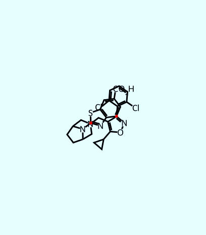 O=C(O)c1ccc2nc(N3C4CCC3CN(Cc3c(-c5c(Cl)cccc5Cl)noc3C3CC3)C4)sc2c1